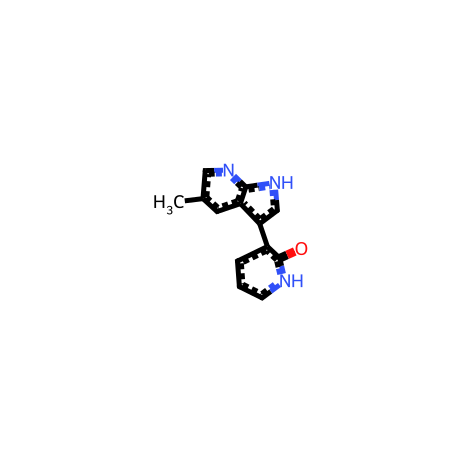 Cc1cnc2[nH]cc(-c3ccc[nH]c3=O)c2c1